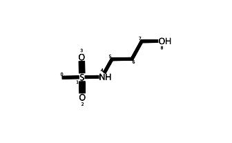 CS(=O)(=O)NCCCO